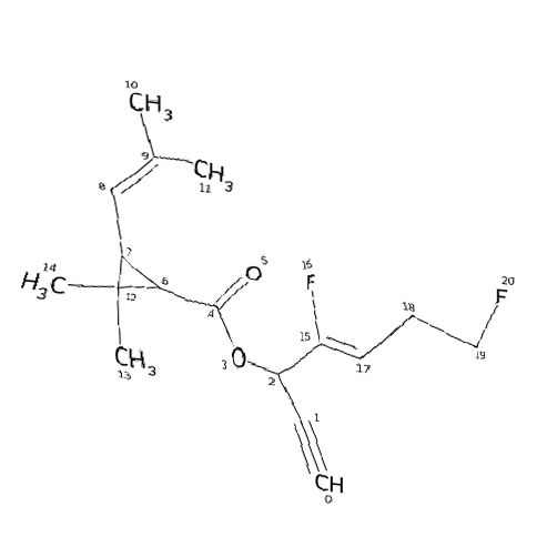 C#CC(OC(=O)C1C(C=C(C)C)C1(C)C)C(F)=CCCF